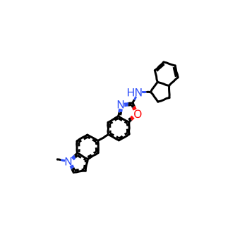 Cn1ccc2cc(-c3ccc4oc(NC5CCC6C=CC=CC65)nc4c3)ccc21